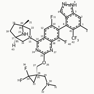 Cc1cc2[nH]ncc2c(-c2c(F)cc3c(N4C[C@H]5CC[C@](C)(C4)N5)nc(OC[C@]4(CN(C)C)CC4(F)F)nc3c2F)c1C(F)(F)F